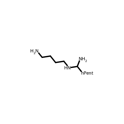 CCCCCC(N)NCCCCN